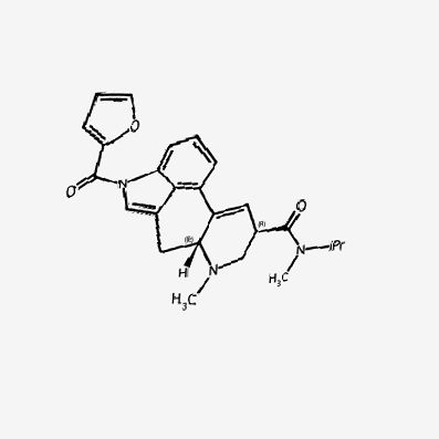 CC(C)N(C)C(=O)[C@@H]1C=C2c3cccc4c3c(cn4C(=O)c3ccco3)C[C@H]2N(C)C1